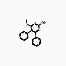 CSc1nc(O)nc(-c2ccccc2)c1-c1ccccc1